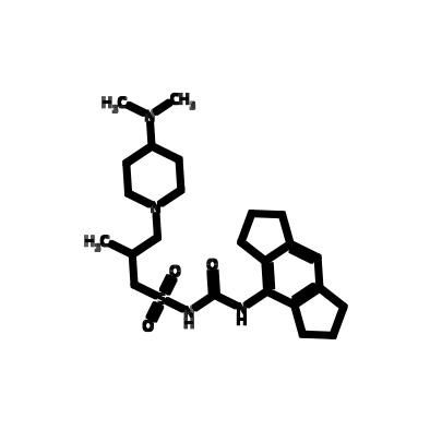 CC(CN1CCC(N(C)C)CC1)CS(=O)(=O)NC(=O)Nc1c2c(cc3c1CCC3)CCC2